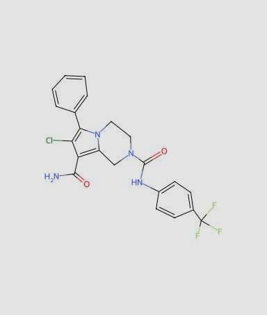 NC(=O)c1c(Cl)c(-c2ccccc2)n2c1CN(C(=O)Nc1ccc(C(F)(F)F)cc1)CC2